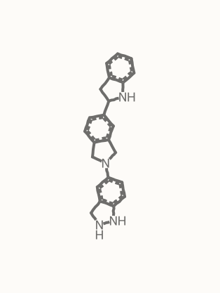 c1ccc2c(c1)CC(c1ccc3c(c1)CN(c1ccc4c(c1)CNN4)C3)N2